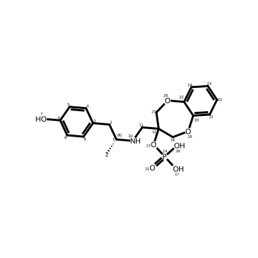 C[C@H](Cc1ccc(O)cc1)NCC1(OP(=O)(O)O)COc2ccccc2OC1